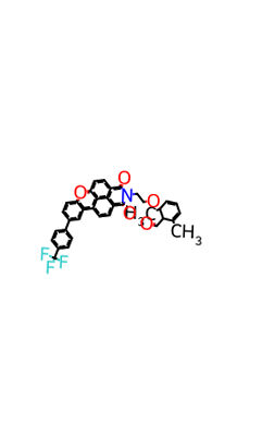 CC1=CC=CC(C)(OCCn2c(=O)c3ccc4oc5ccc(-c6ccc(C(F)(F)F)cc6)cc5c5ccc(c2=O)c3c45)C1C=O